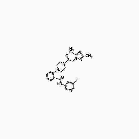 Cc1cc(C)n(CC(=O)N2CCN(c3ccccc3C(=O)Nc3cncc(F)c3)CC2)n1